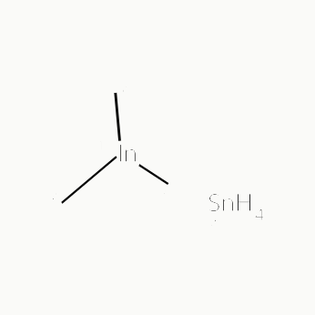 [CH3][In]([CH3])[CH3].[SnH4]